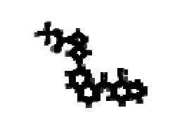 CC(C)(C)OC(=O)N1CCC12CN(c1ccc3ncnc(Nc4ccc5cnsc5c4F)c3n1)C2